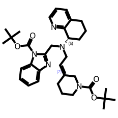 CC(C)(C)OC(=O)N1CCC/C(=C/CN(Cc2nc3ccccc3n2C(=O)OC(C)(C)C)[C@H]2CCCc3cccnc32)C1